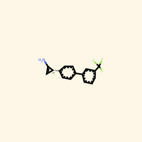 NC1=C[C@H]1c1ccc(-c2cccc(C(F)(F)F)c2)cc1